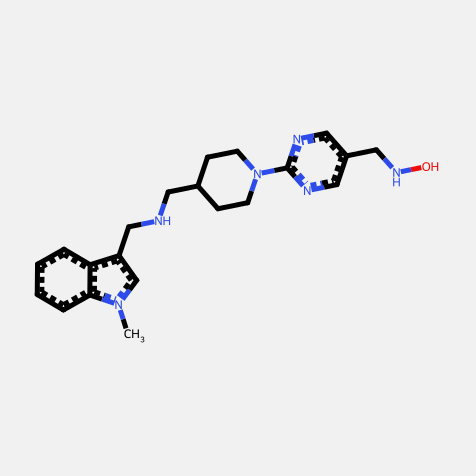 Cn1cc(CNCC2CCN(c3ncc(CNO)cn3)CC2)c2ccccc21